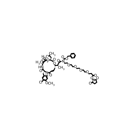 COc1ccc(C[C@H]2NC(=O)/C=C/C[C@@H]([C@H](C)[C@@H]3O[C@@H]3N(CCOCCOCCOCCOCCC(=O)ON3C(=O)CCC3=O)C(=O)OCc3ccccc3)OC(=O)[C@H](CC(C)C)OC(=O)C(C)(C)CNC2=O)cc1Cl